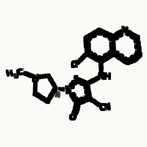 CN1CC[C@@H](n2sc(Nc3c(Cl)ccc4ncccc34)c(C#N)c2=O)C1